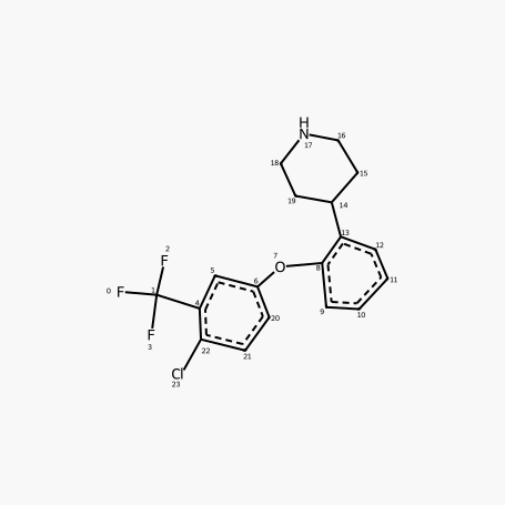 FC(F)(F)c1cc(Oc2ccccc2C2CCNCC2)ccc1Cl